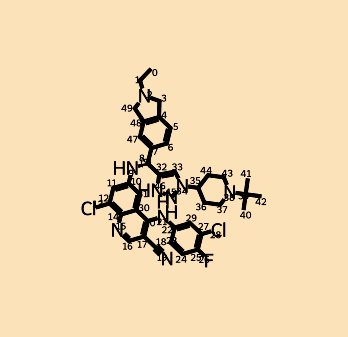 CCN1Cc2ccc([C@H](Nc3cc(Cl)c4ncc(C#N)c(Nc5ccc(F)c(Cl)c5)c4c3)C3=CN(C4CCN(C(C)(C)C)CC4)NN3)cc2C1